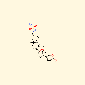 C[C@]12CC[C@H](CNS(N)(=O)=O)C[C@H]1CC[C@@H]1[C@@H]2CC[C@]2(C)[C@@H](c3ccc(=O)oc3)CC[C@]12O